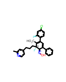 Cc1cc(CCC[C@@]2(F)C(C(=O)O)=C(c3ccc(Cl)cc3F)C=C(c3ccccc3)/C2=N\O)ccn1